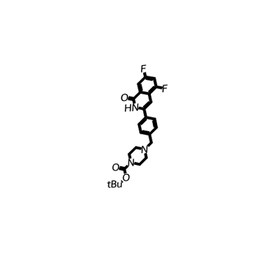 CC(C)(C)OC(=O)N1CCN(Cc2ccc(-c3cc4c(F)cc(F)cc4c(=O)[nH]3)cc2)CC1